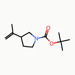 C=C(C)C1CCN(C(=O)OC(C)(C)C)C1